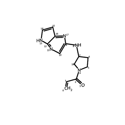 C=CC(=O)N1CCC(Nc2cnc3[nH]ccc3n2)C1